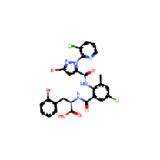 Cc1cc(Cl)cc(C(=O)NC(Cc2ccccc2Br)C(=O)O)c1NC(=O)c1cc(Br)nn1-c1ncccc1Cl